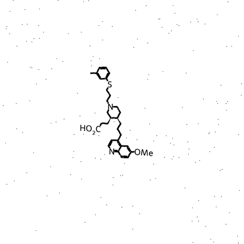 COc1ccc2nccc(CCC[C@@H]3CCN(CCCSc4cccc(C)c4)C[C@@H]3CCC(=O)O)c2c1